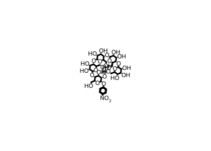 O=[N+]([O-])c1ccc(OC2OC(CO)[C@@H](OC3OC(CO)[C@@H](OC4OC(CO)[C@@H](OC5OC(CO)[C@@H](OC6OC(CO)[C@@H](O)[C@@H](O)[C@@H]6O)[C@@H](O)[C@@H]5O)[C@@H](O)[C@@H]4O)[C@@H](O)[C@@H]3O)[C@@H](O)[C@@H]2O)cc1